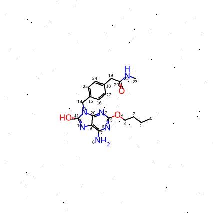 CCCCOc1nc(N)c2nc(O)n(Cc3ccc(CC(=O)NC)cc3)c2n1